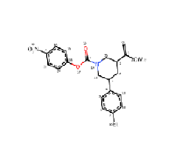 C=C(OC)C1CC(c2ccc(CC)cc2)CN(C(=O)Oc2ccc([N+](=O)[O-])cc2)C1